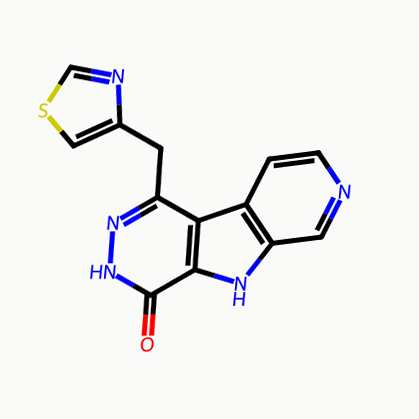 O=c1[nH]nc(Cc2cscn2)c2c1[nH]c1cnccc12